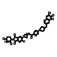 CCc1cc2ncc(CN3CCN(c4ccc(C(=O)NC5CN(c6cc7c(cc6F)C(=O)N(C6CCC(=O)NC6=O)C7=O)C5)nc4)CC3)cc2[nH]c1=O